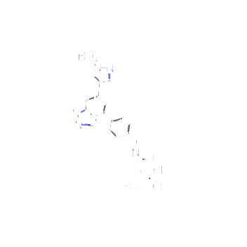 Cn1cc(-c2cc(-c3ccc(CNC(=O)OC(C)(C)C)cc3)n3cnnc3c2)cn1